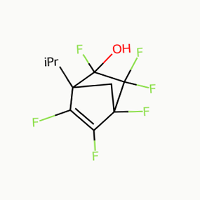 CC(C)C12CC(F)(C(F)=C1F)C(F)(F)C2(O)F